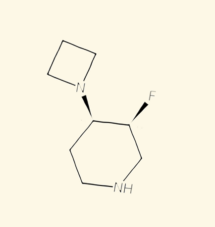 F[C@H]1CNCC[C@H]1N1CCC1